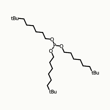 CC(C)(C)CCCCCCOP(OCCCCCCC(C)(C)C)OCCCCCCC(C)(C)C